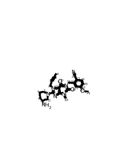 CC#CCn1c(N2CCC[C@@H](N)C2)nc2c1c(=O)n(Cc1cc(OC)ccc1C#N)c(=O)n2C